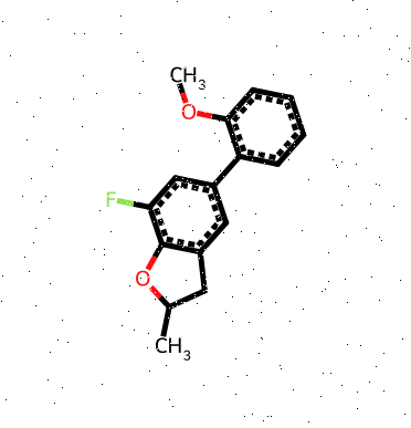 COc1ccccc1-c1cc(F)c2c(c1)CC(C)O2